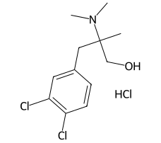 CN(C)C(C)(CO)Cc1ccc(Cl)c(Cl)c1.Cl